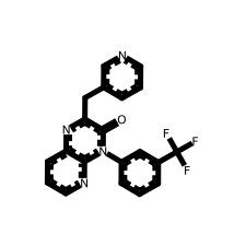 O=c1c(Cc2cccnc2)nc2cccnc2n1-c1cccc(C(F)(F)F)c1